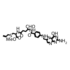 C=CCSCC(NC(=O)CCC(C=O)NC(=O)c1ccc(NCc2cnc3nc(N)nc(O)c3n2)cc1)C(=O)OC